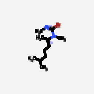 C/N=C(/Br)N(C)/C(C)=C/CCC(C)C